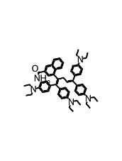 CCN(CC)c1ccc(C(=CCC(=C(c2ccc(N(CC)CC)cc2)c2ccc(N(CC)CC)cc2)c2cc(C(N)=O)cc3ccccc23)c2ccc(N(CC)CC)cc2)cc1